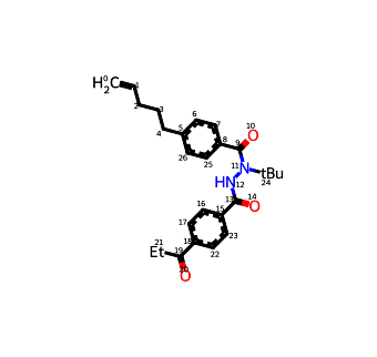 C=CCCCc1ccc(C(=O)N(NC(=O)c2ccc(C(=O)CC)cc2)C(C)(C)C)cc1